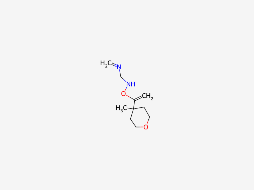 C=NCNOC(=C)C1(C)CCOCC1